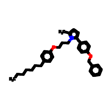 CCCCCCCc1ccc(OCCCn2c(C)ccc2-c2ccc(OCc3ccccc3)cc2)cc1